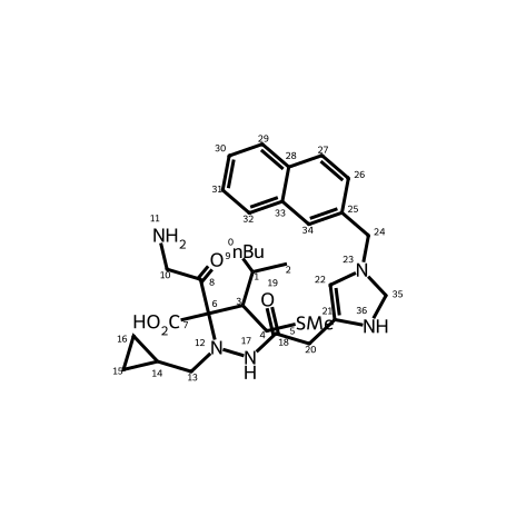 CCCCC(C)C(CSC)C(C(=O)O)(C(=O)CN)N(CC1CC1)NC(=O)CC1=CN(Cc2ccc3ccccc3c2)CN1